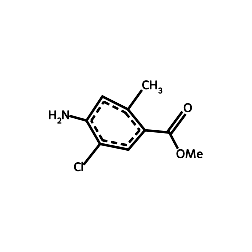 COC(=O)c1cc(Cl)c(N)cc1C